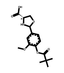 COc1cc(C2N[C@H](C(=O)O)CS2)ccc1OC(=O)C(C)(C)C